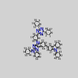 c1ccc(-c2nc(-c3ccccc3)nc(-c3cccc(-n4c5ccc(-c6ccc7c(c6)c6ccccc6n7-c6ccccc6)cc5c5c4nc4n(-c6ccccc6)c6ccccc6n54)c3)n2)cc1